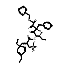 CCC1=CCC(C=C(CP(=O)(O)O)C(=O)N[C@H](C(=O)[C@@](N)(Cc2ccccc2)C(=O)C(=O)NCc2ccccc2)[C@@H](C)CC)(CC)C=C1